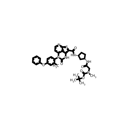 Cc1cc(Oc2ccccc2)ccc1N1C(=O)Nc2c(C(=O)N[C@@H]3CC[C@H](NC(=O)CN(C)C(=O)OC(C)(C)C)C3)sc3nccc1c23